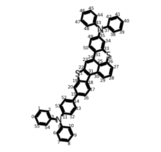 c1ccc(N(c2ccccc2)c2ccc(-c3ccc4c(c3)sc3cc5c6c(cccc6c34)Sc3cc(N(c4ccccc4)c4ccccc4)ccc3-5)cc2)cc1